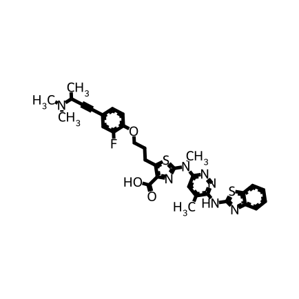 Cc1cc(N(C)c2nc(C(=O)O)c(CCCOc3ccc(C#CC(C)N(C)C)cc3F)s2)nnc1Nc1nc2ccccc2s1